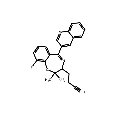 C#CCCC1N=C(c2cnc3ccccc3c2)c2cccc(F)c2OC1(C)C